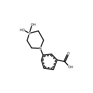 O=C(O)c1cccc(N2CCS(O)(O)CC2)c1